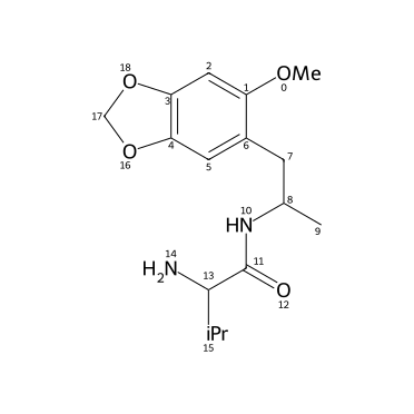 COc1cc2c(cc1CC(C)NC(=O)C(N)C(C)C)OCO2